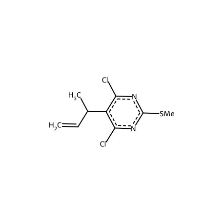 C=CC(C)c1c(Cl)nc(SC)nc1Cl